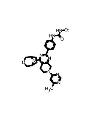 CCNC(=O)Nc1ccc(-c2nc3c(c(N4C5CCC4COC5)n2)CCN(c2cc(C)ncn2)C3)cc1